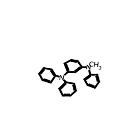 CN(c1ccccc1)c1cccc(N(c2ccccc2)c2ccccc2)c1